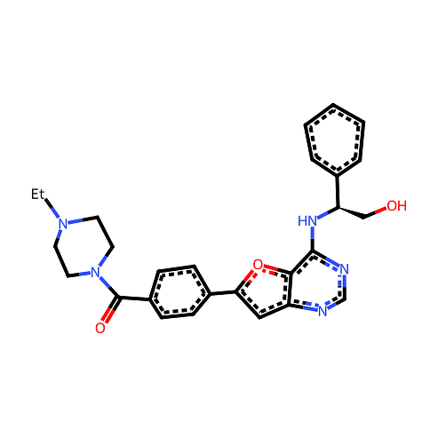 CCN1CCN(C(=O)c2ccc(-c3cc4ncnc(N[C@H](CO)c5ccccc5)c4o3)cc2)CC1